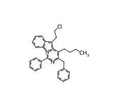 CCCCc1c(Cc2ccccc2)nc(-c2ccccc2)n2c1c(CCCl)c1ccccc12